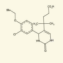 CC(C)(C)COc1ccc(C2NC(=O)NC=C2C(C)(C)CCC(=O)O)cc1Cl